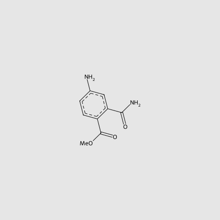 COC(=O)c1ccc(N)cc1C(N)=O